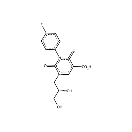 O=C(O)c1cn(C[C@H](O)CO)c(=O)n(-c2ccc(F)cc2)c1=O